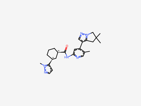 Cc1cnc(NC(=O)[C@@H]2CCC[C@H](c3ccnn3C)C2)cc1-c1cnn2c1CC(C)(C)C2